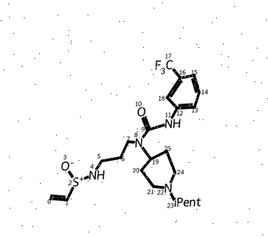 C=C[S+]([O-])NCCCN(C(=O)Nc1cccc(C(F)(F)F)c1)C1CCN(C(C)CCC)CC1